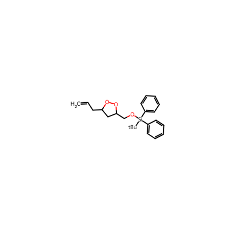 C=CCC1CC(CO[Si](c2ccccc2)(c2ccccc2)C(C)(C)C)OO1